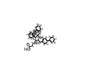 O=C(O)CCNC(=O)C(Cc1ccc(-c2ccccc2)cc1)NC(Cc1ccccc1)(Cc1ccccc1)P(=O)(O)O